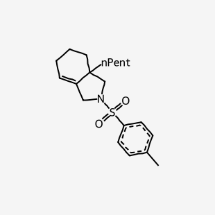 CCCCCC12CCCC=C1CN(S(=O)(=O)c1ccc(C)cc1)C2